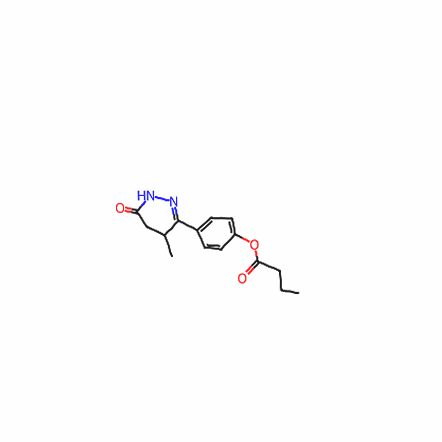 CCCC(=O)Oc1ccc(C2=NNC(=O)CC2C)cc1